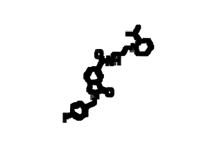 CC(C)C1CCCCN1CCCNC(=O)c1ccc2c(c1)C(=O)N(Cc1ccc(F)cc1)C2